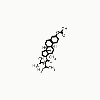 CC(C)N(C(=O)[C@H]1CC[C@H]2[C@@H]3CCC4=C(CCC(OC(=O)O)=C4)[C@H]3CC[C@]12C)C(C)C